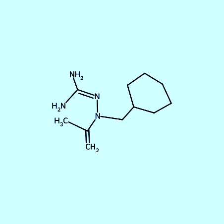 C=C(C)N(CC1CCCCC1)N=C(N)N